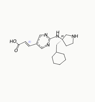 O=C(O)/C=C/c1cnc(N[C@]2(CC3CCCCC3)CCNC2)nc1